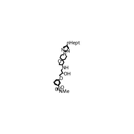 CCCCCCCc1cnc(N2CCC3(CC2)C[C@@H](NC[C@H](O)COc2cccc(S(=O)(=O)NC)c2)CO3)nc1